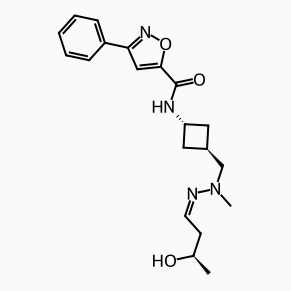 C[C@@H](O)C/C=N\N(C)C[C@H]1C[C@H](NC(=O)c2cc(-c3ccccc3)no2)C1